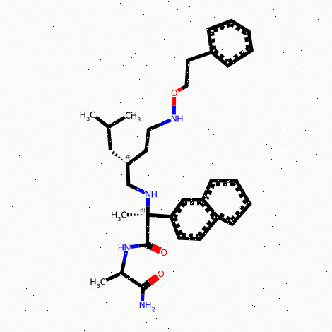 CC(C)C[C@H](CCNOCCc1ccccc1)CN[C@](C)(C(=O)NC(C)C(N)=O)c1ccc2ccccc2c1